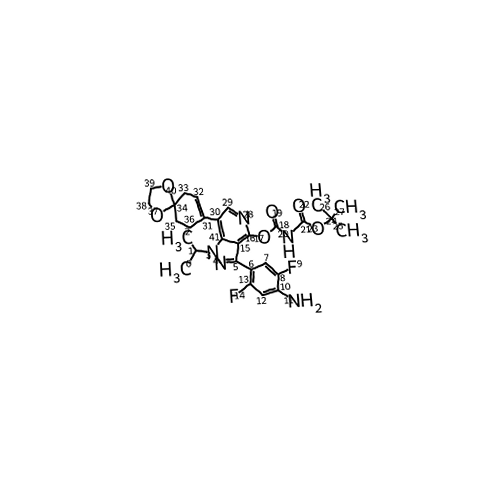 CC(C)n1nc(-c2cc(F)c(N)cc2F)c2c(OC(=O)NC(=O)OC(C)(C)C)ncc(C3=CCC4(CC3)OCCO4)c21